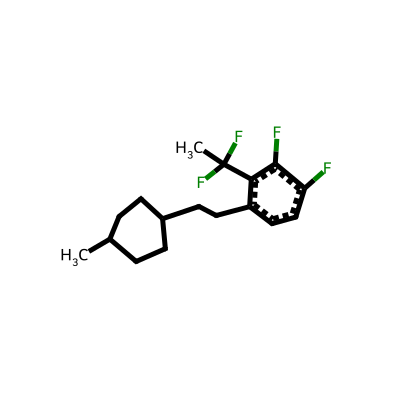 CC1CCC(CCc2ccc(F)c(F)c2C(C)(F)F)CC1